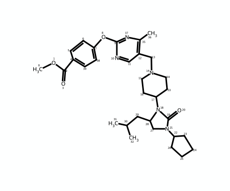 COC(=O)c1ccc(Oc2ncc(CN3CCC(N4C(=O)N(C5CCCC5)CC4CC(C)C)CC3)c(C)n2)cc1